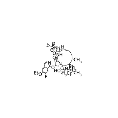 CCOc1cc2ccnc(O[C@@H]3C[C@H]4C(=O)N[C@]5(C(=O)NS(=O)(=O)C6CC6)C[C@H]5C=CCC[C@@H](C)C[C@@H](CC)[C@H](N(C(=O)O)C(C)(C)C(C)(F)F)C(=O)N4C3)c2cc1F